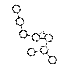 c1ccc(-c2ccc(-c3cccc(-c4ccc5c(c4)oc4cccc(-c6nc(-c7ccccc7)nc(-c7ccccc7)n6)c45)c3)cc2)cc1